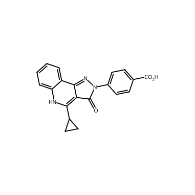 O=C(O)c1ccc(-n2nc3c4ccccc4[nH]c(C4CC4)c-3c2=O)cc1